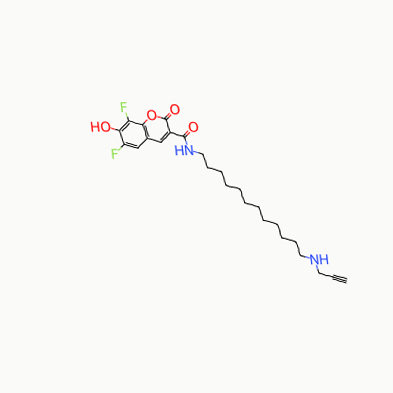 C#CCNCCCCCCCCCCCCNC(=O)c1cc2cc(F)c(O)c(F)c2oc1=O